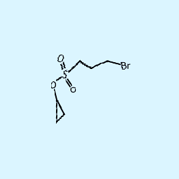 O=S(=O)(CCCBr)OC1CC1